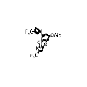 COc1cc(Oc2cc(C(F)(F)F)nn2C)nc(-n2cc(C(F)(F)F)cn2)c1